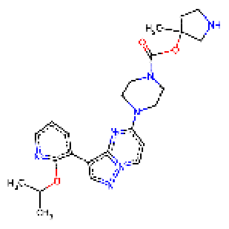 CC(C)Oc1ncccc1-c1cnn2ccc(N3CCN(C(=O)OC4(C)CCNC4)CC3)nc12